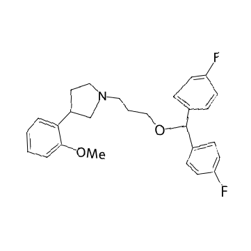 COc1ccccc1C1CCN(CCCOC(c2ccc(F)cc2)c2ccc(F)cc2)C1